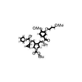 COCCCOc1cc(C(=O)N(CC2CN(C(=O)OC(C)(C)C)CC2CN(C(=O)N2CCCC2)C2CC2)C(C)C)ccc1OC